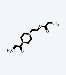 C=CC(=O)N1CCN(CCOC(=O)CC)CC1